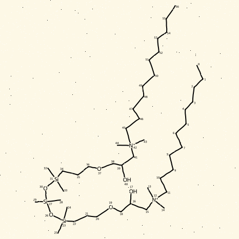 CCCCCCCCCCCC[N+](C)(C)CC(O)COCCC[Si](C)(C)O[Si](C)(C)O[Si](C)(C)CCCOCC(O)C[N+](C)(C)CCCCCCCCCCCC